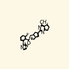 Cc1nc(C2=CC3CN(C(=O)c4c(F)cccc4-n4nccn4)CC3C2)nc2c1CCC2